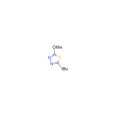 COc1nnc(C(C)(C)C)s1